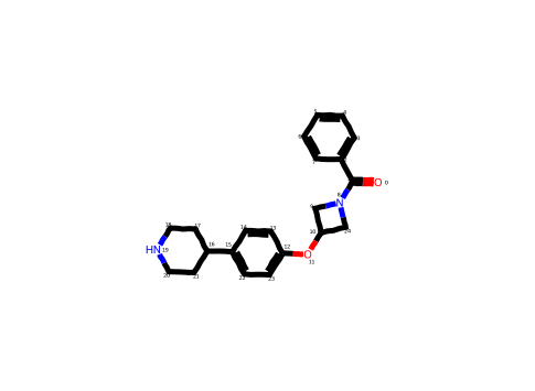 O=C(c1ccccc1)N1CC(Oc2ccc(C3CCNCC3)cc2)C1